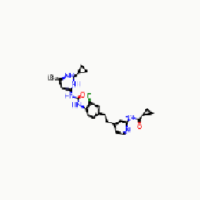 CC(C)(C)C(=N)/C=C(\NCC1CC1)NC(=O)Nc1ccc(CCc2ccnc(NC(=O)C3CC3)c2)cc1F